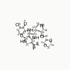 COc1c(Cl)cccc1Nc1c(-c2ccncc2OC[C@H]2COCCO2)[nH]c2c1C(=O)NC[C@@H]2C(F)F